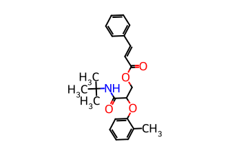 Cc1ccccc1OC(COC(=O)C=Cc1ccccc1)C(=O)NC(C)(C)C